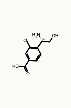 N[C@H](CO)c1ccc(C(=O)O)cc1Cl